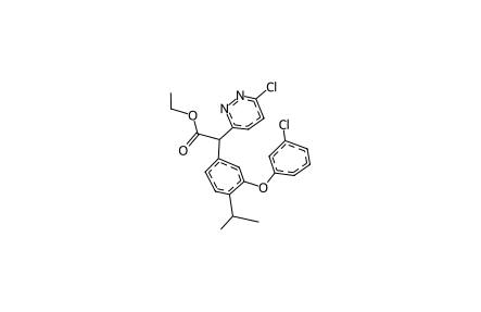 CCOC(=O)C(c1ccc(C(C)C)c(Oc2cccc(Cl)c2)c1)c1ccc(Cl)nn1